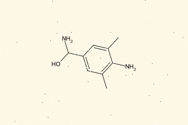 Cc1cc(C(N)O)cc(C)c1N